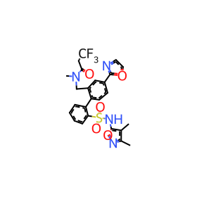 Cc1noc(NS(=O)(=O)c2ccccc2-c2ccc(-c3ncco3)cc2CN(C)C(=O)CC(F)(F)F)c1C